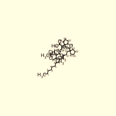 CCCCCCCCCCCCCC1(C(=O)NC2(C(CNC(=O)C3OC(C)(C)OCC3(C)C)C(=O)O)CCCC2)CCCC1